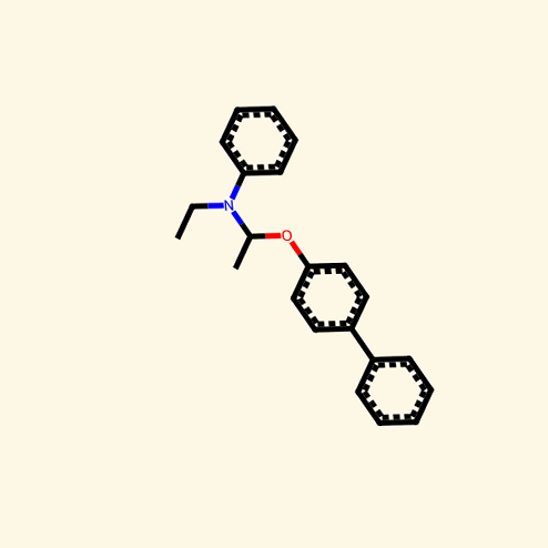 CCN(c1ccccc1)C(C)Oc1ccc(-c2ccccc2)cc1